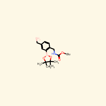 BCc1ccc(CNC(=O)OC(C)(C)C)c(B2OC(C)(C)C(C)(C)O2)c1